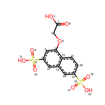 O=C(O)COc1cc(S(=O)(=O)O)cc2cc(S(=O)(=O)O)ccc12